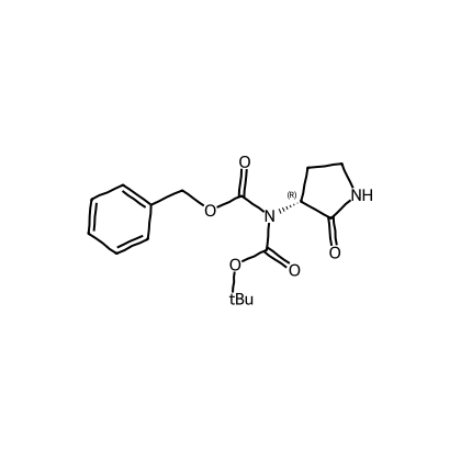 CC(C)(C)OC(=O)N(C(=O)OCc1ccccc1)[C@@H]1CCNC1=O